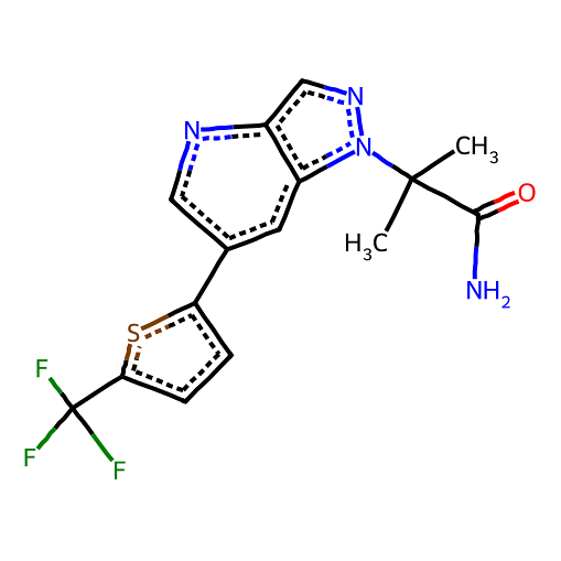 CC(C)(C(N)=O)n1ncc2ncc(-c3ccc(C(F)(F)F)s3)cc21